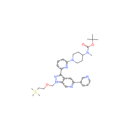 CN(C(=O)OC(C)(C)C)C1CCN(c2cccc(-c3nn(COCCS(C)(C)C)c4cnc(-c5cccnc5)cc34)n2)CC1